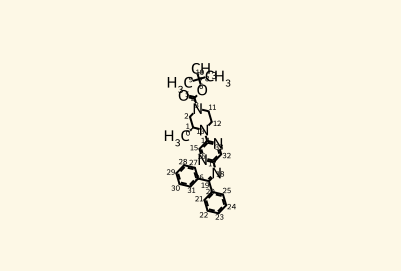 C[C@H]1CN(C(=O)OC(C)(C)C)CCN1c1cnc(N=C(c2ccccc2)c2ccccc2)cn1